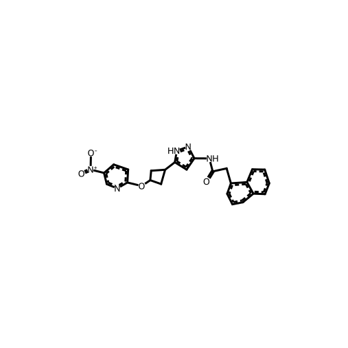 O=C(Cc1cccc2ccccc12)Nc1cc(C2CC(Oc3ccc([N+](=O)[O-])cn3)C2)[nH]n1